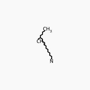 CCCCCC(CC)CCCCCCCCCCCC#N